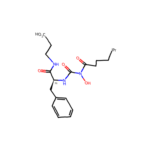 CC(C)CCCC(=O)N(O)C(=O)N[C@@H](Cc1ccccc1)C(=O)NCCC(=O)O